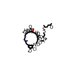 COc1cc2cc(c1Cl)N(C)C(=O)C[C@@H](OC(=O)[C@@H](C)N(C)C(=O)CCSSC(C)CCC(C)=O)[C@@]1(C)CO[C@@H]1[C@@H](C)[C@H]1C[C@](O)(NC(=O)O1)[C@@H](OC)/C=C/C=C(\C)C2